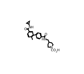 Cc1ccc(C(=O)NC2CC2)cc1-c1ccc(C(=O)NCC2CCN(C(=O)O)CC2)cc1